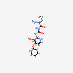 CC(C)C[C@H](N)C(=O)NC(=O)Oc1nccc(OC2CCCCC2)c1O